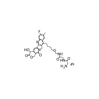 Cc1cc2c(CCCCOCNC(=O)CNC(=O)[C@@H](N)C(C)C)c3c(nc2cc1F)-c1cc2c(c(=O)n1C3)COC(=O)[C@H]2O